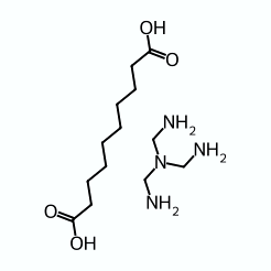 NCN(CN)CN.O=C(O)CCCCCCCCC(=O)O